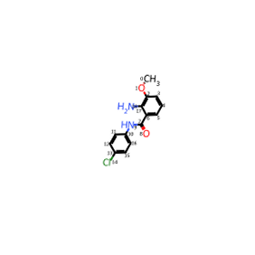 COc1cccc(C(=O)Nc2ccc(Cl)cc2)c1N